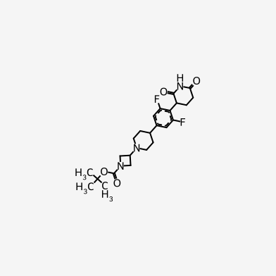 CC(C)(C)OC(=O)N1CC(N2CCC(c3cc(F)c(C4CCC(=O)NC4=O)c(F)c3)CC2)C1